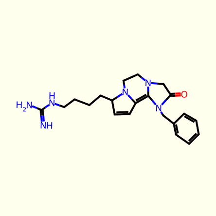 N=C(N)NCCCCC1C=CC2=C3N(CCN21)CC(=O)N3Cc1ccccc1